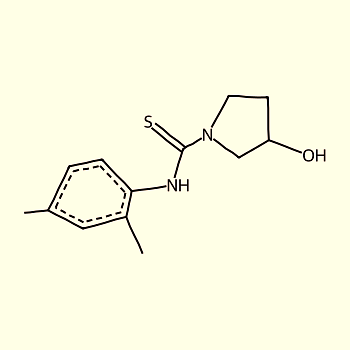 Cc1ccc(NC(=S)N2CCC(O)C2)c(C)c1